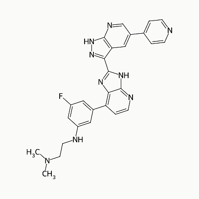 CN(C)CCNc1cc(F)cc(-c2ccnc3[nH]c(-c4n[nH]c5ncc(-c6ccncc6)cc45)nc23)c1